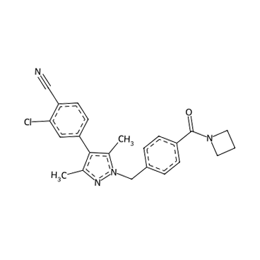 Cc1nn(Cc2ccc(C(=O)N3CCC3)cc2)c(C)c1-c1ccc(C#N)c(Cl)c1